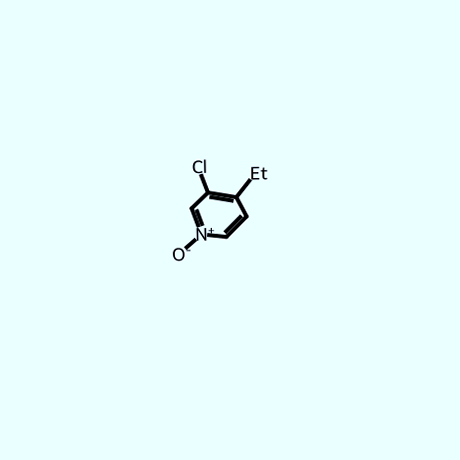 CCc1cc[n+]([O-])cc1Cl